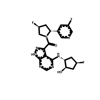 O=C(c1n[nH]c2ncnc(N[C@@H]3C[C@@H](F)C[C@H]3O)c12)N1C[C@@H](F)C[C@@H]1c1cncc(F)c1